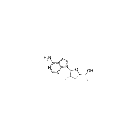 C[C@H]1C[C@@H]([C@@H](C)O)OC1n1ccc2c(N)ncnc21